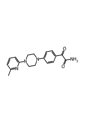 Cc1cccc(N2CCN(c3ccc(C(=O)C(N)=O)cc3)CC2)n1